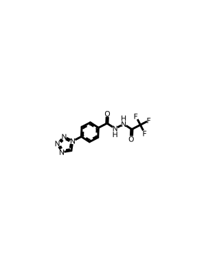 O=C(NNC(=O)C(F)(F)F)c1ccc(-n2cnnn2)cc1